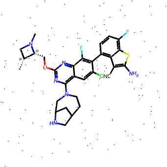 C[C@@H]1CN(C)[C@@H]1COc1nc(N2CCC3CNC(C3)C2)c2cc(Cl)c(-c3ccc(F)c4sc(N)c(C#N)c34)c(F)c2n1